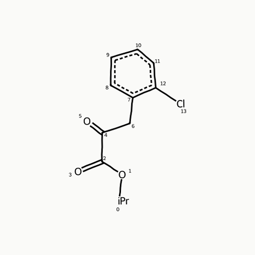 CC(C)OC(=O)C(=O)Cc1ccccc1Cl